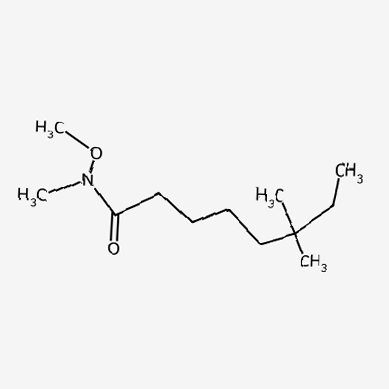 CCC(C)(C)CCCCC(=O)N(C)OC